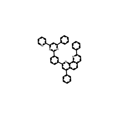 c1ccc(-c2cc(-c3ccccn3)nc(-c3cccc(-c4cc(-c5ccccc5)c5ccc6ccc(-c7ccccc7)nc6c5n4)c3)n2)cc1